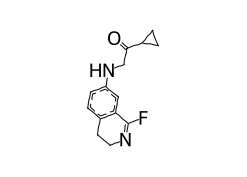 O=C(CNc1ccc2c(c1)C(F)=NCC2)C1CC1